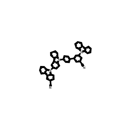 N#Cc1cc(-c2ccc(-n3c4ccccc4c4cc(-n5c6ccccc6c6cc(C#N)ccc65)ccc43)cc2)cc(-n2c3ccccc3c3ccccc32)c1